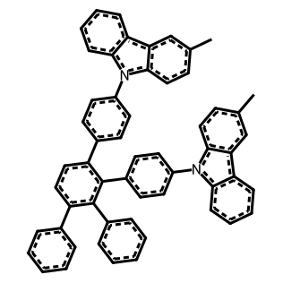 Cc1ccc2c(c1)c1ccccc1n2-c1ccc(-c2ccc(-c3ccccc3)c(-c3ccccc3)c2-c2ccc(-n3c4ccccc4c4cc(C)ccc43)cc2)cc1